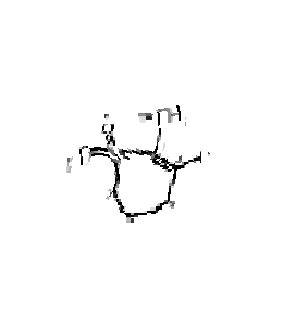 CC1=C(I)CCCS1(=O)=O